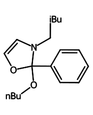 CCCCOC1(c2ccccc2)OC=CN1CC(C)CC